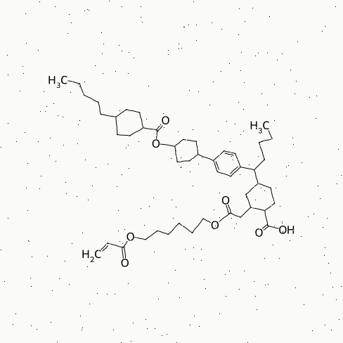 C=CC(=O)OCCCCCCOC(=O)CC1CC(C(CCCC)c2ccc(C3CCC(OC(=O)C4CCC(CCCCC)CC4)CC3)cc2)CCC1C(=O)O